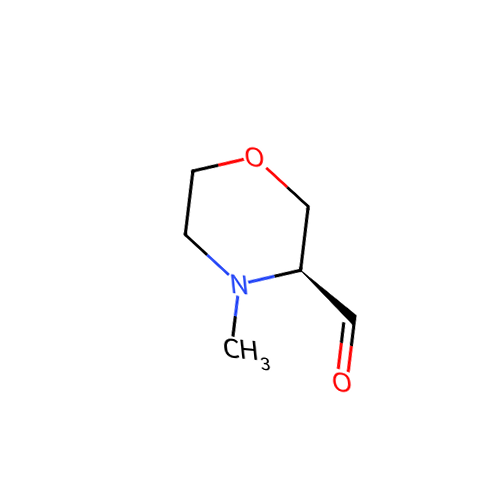 CN1CCOC[C@H]1C=O